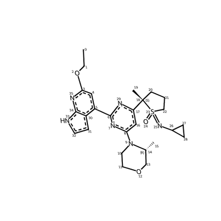 CCOc1cc(-c2nc(N3CCOC[C@H]3C)cc([C@]3(C)CCCS3(=O)=NC3CC3)n2)c2cc[nH]c2n1